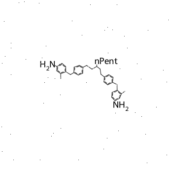 CCCCCC(CCc1ccc(Cc2ccc(N)cc2C)cc1)CCc1ccc(Cc2ccc(N)cc2C)cc1